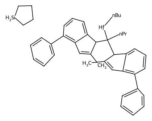 C1CC[SiH2]C1.CCC[CH2][Hf][C](CCC)(C1C(C)=Cc2c(-c3ccccc3)cccc21)C1C(C)=Cc2c(-c3ccccc3)cccc21